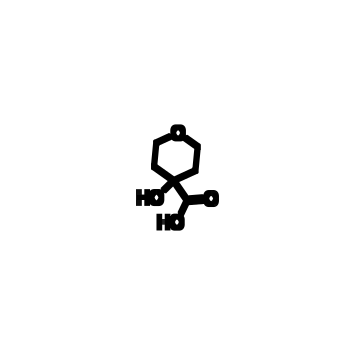 O=C(O)C1(O)CCOCC1